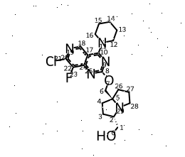 OC[C@@H]1CC[C@]2(COc3nc(N4CCCCC4)c4cnc(Cl)c(F)c4n3)CCCN12